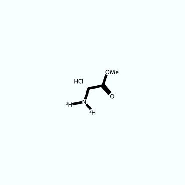 Cl.[2H]N([2H])CC(=O)OC